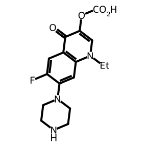 CCn1cc(OC(=O)O)c(=O)c2cc(F)c(N3CCNCC3)cc21